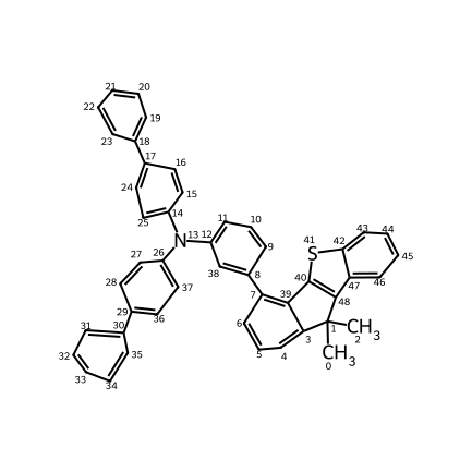 CC1(C)c2cccc(-c3cccc(N(c4ccc(-c5ccccc5)cc4)c4ccc(-c5ccccc5)cc4)c3)c2-c2sc3ccccc3c21